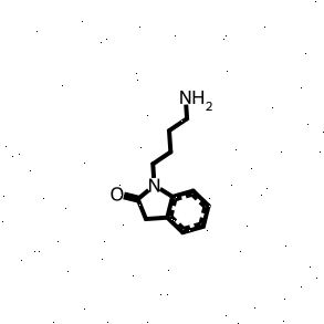 NCCCCN1C(=O)Cc2ccccc21